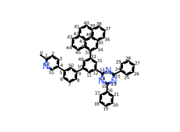 Cc1ccc(-c2cccc(-c3cc(-c4nc(-c5ccccc5)nc(-c5ccccc5)n4)cc(-c4cc5cccc6ccc7cccc4c7c65)c3)c2)cn1